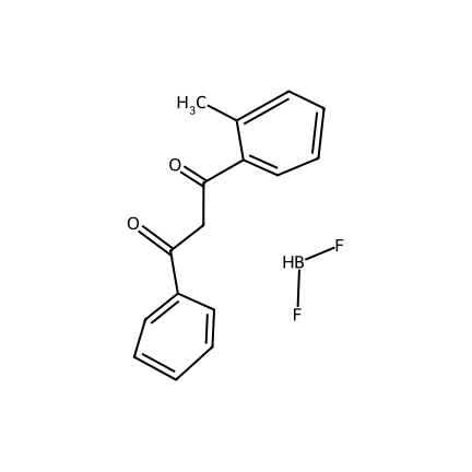 Cc1ccccc1C(=O)CC(=O)c1ccccc1.FBF